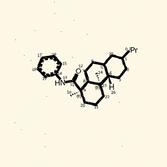 CC(C)C1CC[C@H]2C(CCC3[C@](C)(C(=O)Nc4ccccc4)CCC[C@@]32C)C1